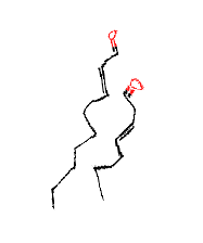 CCCC=CC=O.CCCCCCC=CC=O